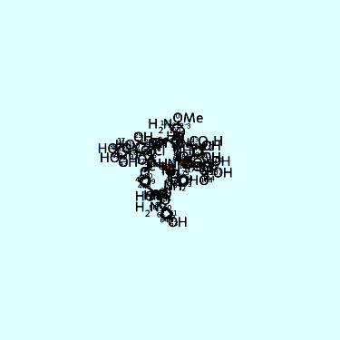 CO[C@H]1[C@H](C)O[C@H](O[C@H]2c3ccc(c(Cl)c3)Oc3cc4cc(c3O[C@@H]3O[C@@H](CO)[C@@H](O)[C@H](O)[C@H]3O[C@@H]3O[C@H](C)[C@H](O)[C@@H](O)[C@H]3O)Oc3ccc(cc3)[C@@H](O)[C@@H](NC(=O)[C@@H](N)c3ccc(O)cc3)C(=O)N[C@@H](Cc3ccccc3)C(=O)N[C@H]4C(=O)N[C@@H]3C(=O)NC2C(=O)N[C@H](C(=O)O)c2cc(O)cc(O[C@H]4O[C@H](CO)[C@@H](O)[C@H](O)[C@@H]4O)c2-c2cc3ccc2O)C[C@@H]1N